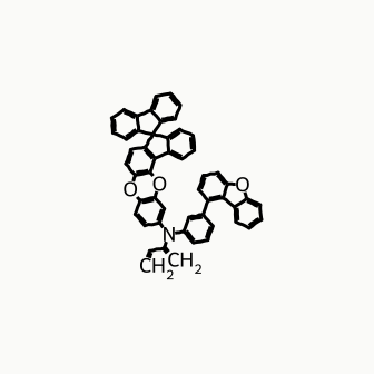 C=CC(=C)N(c1cccc(-c2cccc3oc4ccccc4c23)c1)c1ccc2c(c1)Oc1c(ccc3c1-c1ccccc1C31c3ccccc3-c3ccccc31)O2